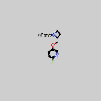 CCCCCN1CC[C@@H]1COc1ccc(F)nc1